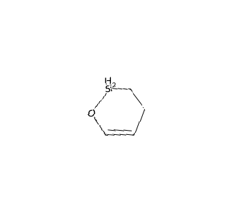 C1=CO[SiH2]CC1